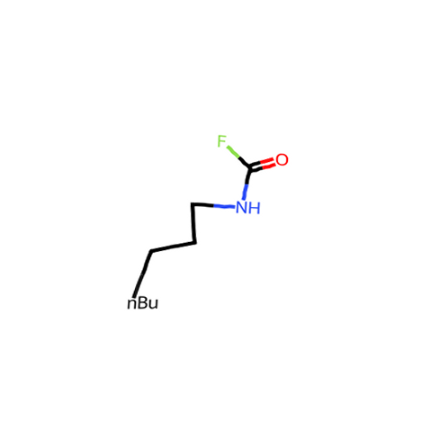 CCCCCCCNC(=O)F